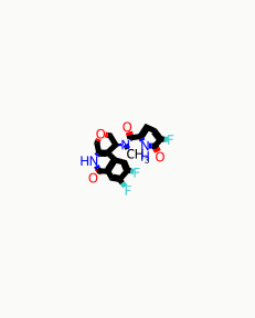 CN(C(=O)c1ccc(F)c(=O)[nH]1)[C@@H]1COCc2[nH]c(=O)c3cc(F)c(F)cc3c21